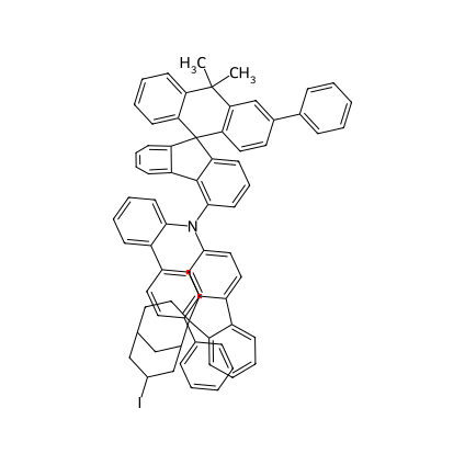 CC1(C)c2ccccc2C2(c3ccccc3-c3c(N(c4ccc5c(c4)C4(CCC6CC(I)CC4C6)c4ccccc4-5)c4ccccc4-c4ccc(-c5ccccc5)cc4)cccc32)c2ccc(-c3ccccc3)cc21